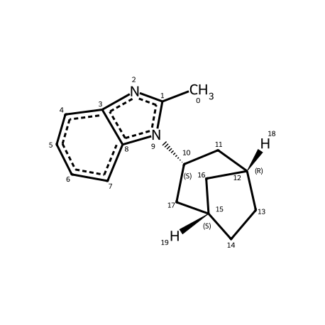 Cc1nc2ccccc2n1[C@@H]1C[C@@H]2CC[C@@H](C2)C1